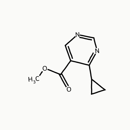 COC(=O)c1cncnc1C1CC1